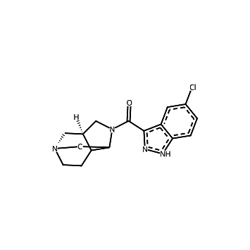 O=C(c1n[nH]c2ccc(Cl)cc12)N1C[C@@H]2C[N@@]3CCC2C1C3